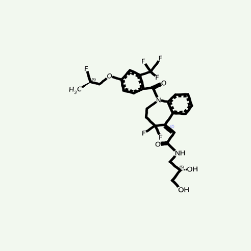 C[C@@H](F)COc1ccc(C(=O)N2CCC(F)(F)/C(=C\C(=O)NC[C@H](O)CO)c3ccccc32)c(C(F)(F)F)c1